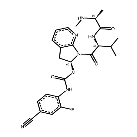 CN[C@@H](C)C(=O)N[C@H](C(=O)N1c2ncccc2C[C@@H]1OC(=O)Nc1ccc(C#N)cc1F)C(C)C